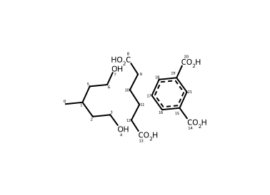 CC(CCO)CCO.O=C(O)CCCCC(=O)O.O=C(O)c1cccc(C(=O)O)c1